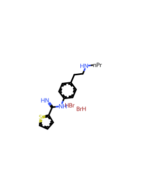 Br.Br.CCCNCCc1ccc(NC(=N)c2cccs2)cc1